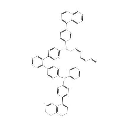 C=C/C=C\C=C/CN(c1ccc(-c2ccccc2-c2ccc(N(c3ccccc3)c3ccc(C4=CCCC5=C4C=CCC5)cc3)cc2)cc1)c1ccc(-c2cccc3ccccc23)cc1